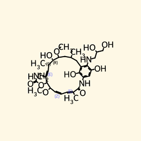 COC1/C=C\C=C(/C)C(=O)Nc2cc(O)c(NCC(O)CO)c(c2O)CC(C)CC(OC)[C@H](O)[C@@H](C)/C=C(\C)C1OC(N)=O